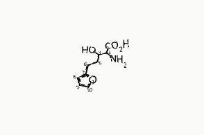 NC(C(=O)O)C(O)CCc1ccco1